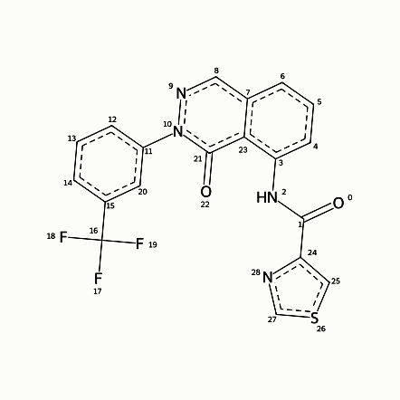 O=C(Nc1cccc2cnn(-c3cccc(C(F)(F)F)c3)c(=O)c12)c1cscn1